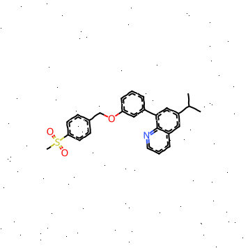 CC(C)c1cc(-c2cccc(OCc3ccc(S(C)(=O)=O)cc3)c2)c2ncccc2c1